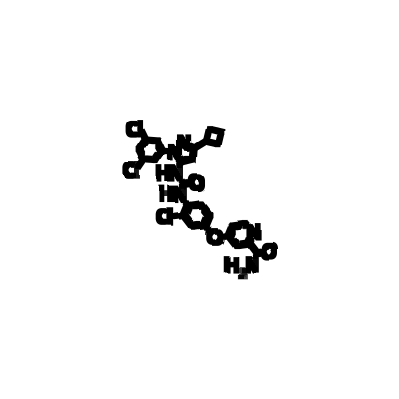 NC(=O)c1cc(Oc2ccc(NC(=O)Nc3cc(C4CCC4)nn3-c3cc(Cl)cc(Cl)c3)c(Cl)c2)ccn1